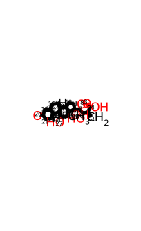 C=C(C(=O)O)C(O)C(=O)[C@@]1(O)CC[C@H]2[C@@H]3CCC4=CC(=O)CC[C@]4(C)[C@H]3[C@@H](O)C[C@@]21C